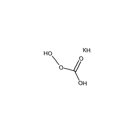 O=C(O)OO.[KH]